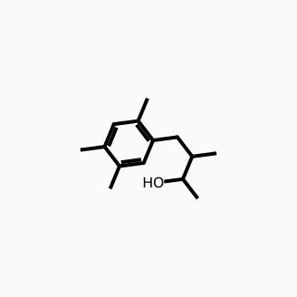 Cc1cc(C)c(CC(C)C(C)O)cc1C